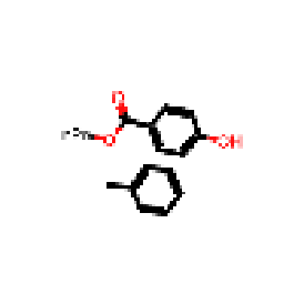 CCCOC(=O)c1ccc(O)cc1.Cc1ccccc1